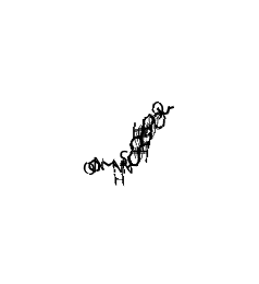 CCCC(=O)O[C@H]1CC[C@H]2[C@@H]3CC=C4c5sc(NCCCN6CCOCC6)nc5CC[C@]4(C)[C@H]3CC[C@]12C